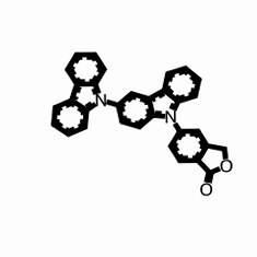 O=C1OCc2cc(-n3c4ccccc4c4cc(-n5c6ccccc6c6ccccc65)ccc43)ccc21